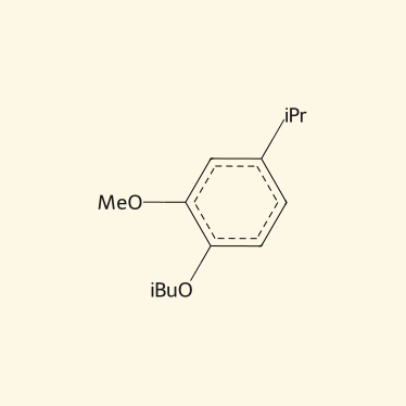 COc1cc(C(C)C)ccc1OCC(C)C